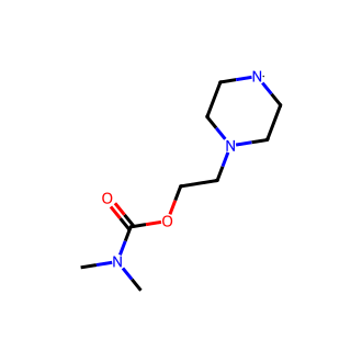 CN(C)C(=O)OCCN1CC[N]CC1